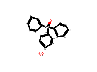 O.O=[As](c1ccccc1)(c1ccccc1)c1ccccc1